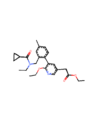 CCOC(=O)Cc1cnc(OCC)c(-c2ccc(C)cc2CN(CC)C(=O)C2CC2)c1